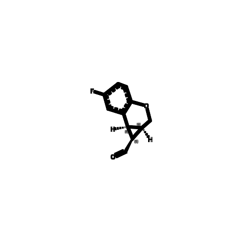 O=C[C@@H]1[C@@H]2COc3ccc(F)cc3[C@H]12